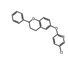 Clc1ccc(Oc2ccc3c(c2)CCC(c2ccccc2)O3)nc1